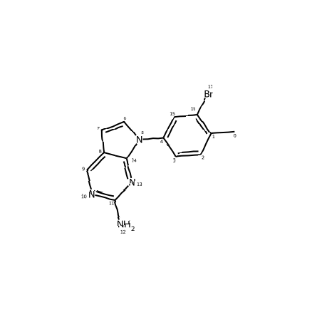 Cc1ccc(-n2ccc3cnc(N)nc32)cc1Br